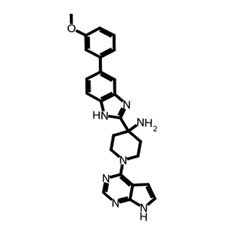 COc1cccc(-c2ccc3[nH]c(C4(N)CCN(c5ncnc6[nH]ccc56)CC4)nc3c2)c1